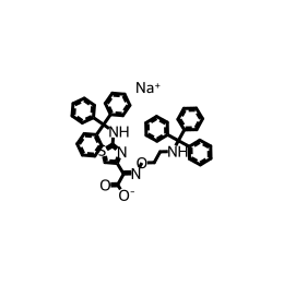 O=C([O-])/C(=N/OCCNC(c1ccccc1)(c1ccccc1)c1ccccc1)c1csc(NC(c2ccccc2)(c2ccccc2)c2ccccc2)n1.[Na+]